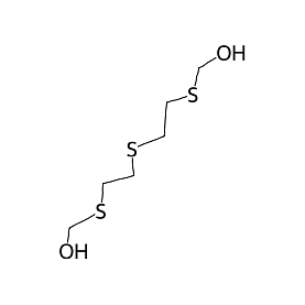 OCSCCSCCSCO